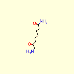 NCC(=O)CCCCCC(N)=O